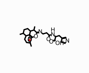 CC1CCC2C(C)/C(=N/CCC(=O)NC(CC3=CN=CC3)C(=O)O)OC3OC4(C)CCC1C32OO4